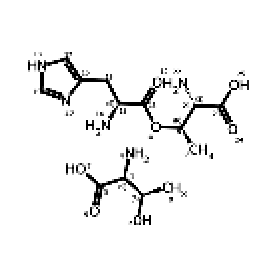 C[C@@H](O)[C@H](N)C(=O)O.C[C@@H](OC(=O)[C@@H](N)Cc1c[nH]cn1)[C@H](N)C(=O)O